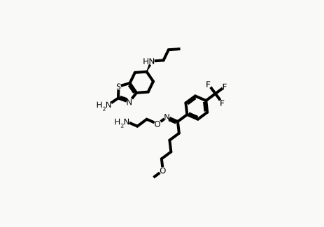 CCCN[C@H]1CCc2nc(N)sc2C1.COCCCC/C(=N\OCCN)c1ccc(C(F)(F)F)cc1